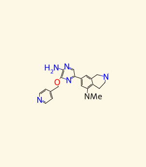 CNc1cc(-c2cnc(N)c(OCc3ccncc3)n2)cc2c1CCN(C)C2